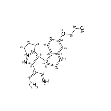 C/C=C(\C=N)c1nn2c(c1-c1ccnc3cc(OCCCl)ccc13)CCC2